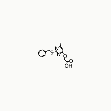 Cc1cc(OCC(=O)O)nc(SCc2ccccc2)n1